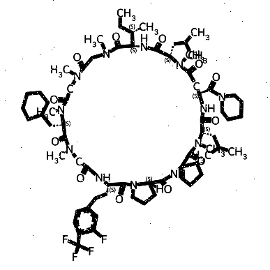 CC[C@H](C)[C@@H]1NC(=O)[C@H](CC(C)C)N(C)C(=O)C[C@@H](C(=O)N2CCCCC2)NC(=O)[C@H](CC(C)C)N(C)C(=O)C2(CCCC2)NC(=O)[C@@H]2CCCN2C(=O)[C@H](CCc2ccc(C(F)(F)F)c(F)c2)NC(=O)CN(C)C(=O)[C@H](CC2CCCCC2)N(C)C(=O)CN(C)C(=O)CN(C)C1=O